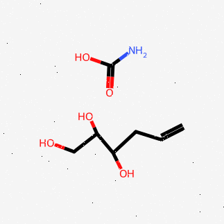 C=CCC(O)C(O)CO.NC(=O)O